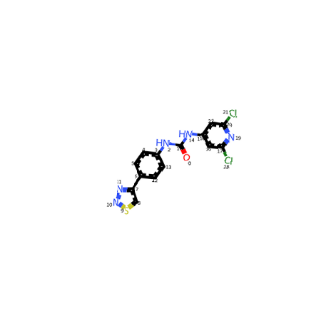 O=C(Nc1ccc(-c2csnn2)cc1)Nc1cc(Cl)nc(Cl)c1